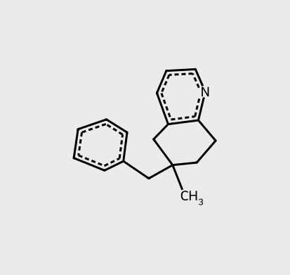 CC1(Cc2ccccc2)CCc2ncccc2C1